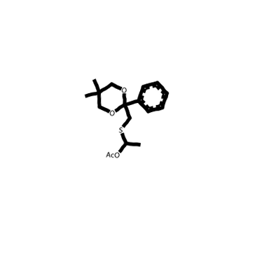 CC(=O)OC(C)SCC1(c2ccccc2)OCC(C)(C)CO1